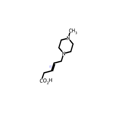 CN1CCN(C/C=C/CC(=O)O)CC1